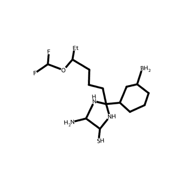 BC1CCCC(C2(CCCC(CC)OC(F)F)NC(N)C(S)N2)C1